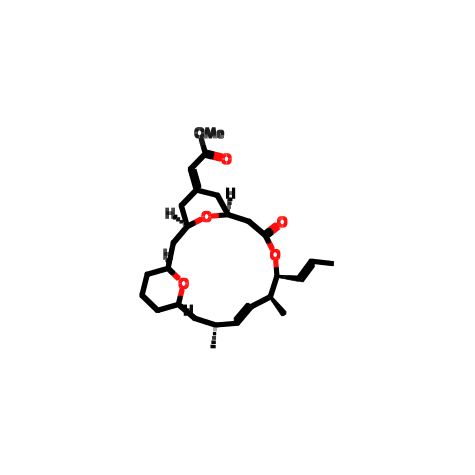 C/C=C/[C@@H]1OC(=O)C[C@@H]2C/C(=C\C(=O)OC)C[C@H](C[C@@H]3CCC[C@H](C[C@@H](C)/C=C/[C@@H]1C)O3)O2